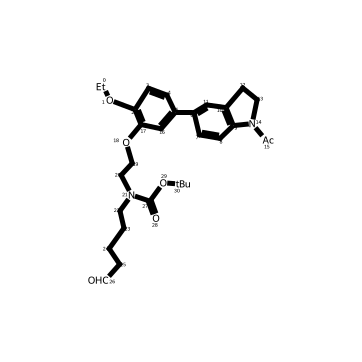 CCOc1ccc(-c2ccc3c(c2)CCN3C(C)=O)cc1OCCN(CCCCC=O)C(=O)OC(C)(C)C